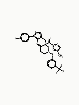 Cc1cnc(C(=O)C23Cc4cnn(-c5ccc(F)cc5)c4C=C2CCN(Sc2cccc(C(F)(F)F)c2)C3)s1